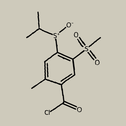 Cc1cc([S+]([O-])C(C)C)c(S(C)(=O)=O)cc1C(=O)Cl